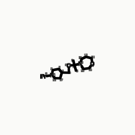 CC(C)N1CCC(COC(C)(C)N2CCCOCC2)CC1